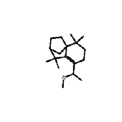 COC(C)C1=C2C(C)(C)C3CCC2(C3)C(C)(C)CC1